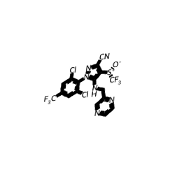 N#Cc1nn(-c2c(Cl)cc(C(F)(F)F)cc2Cl)c(NCc2cnccn2)c1[S+]([O-])C(F)(F)F